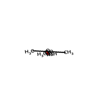 CCCCCCCCCCCCCCCCOC(=O)CC(OS(=O)(=O)CCC)C(=O)OCCCCCCCCCCCCCCCC.[NaH]